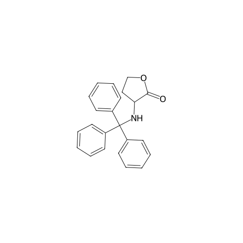 O=C1OCCC1NC(c1ccccc1)(c1ccccc1)c1ccccc1